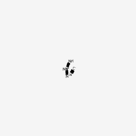 [C-]#N.[N-]=[N+]=N.[Na+]